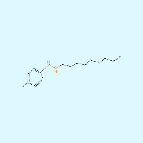 CCCCCCCCCPPc1ccc(C)cc1